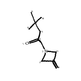 C=C1CN(C(=O)CC(C)(C)C)C1